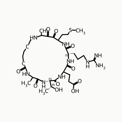 CSCCC1NC(=O)[C@H](CCCNC(=N)N)NC(=O)C(CCC(=O)O)NC(=O)[C@H]([C@@H](C)O)NC(=O)C(C)NC(=O)CCCCCNC(C)C(=O)C1=O